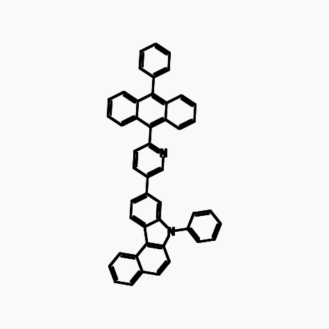 c1ccc(-c2c3ccccc3c(-c3ccc(-c4ccc5c6c7ccccc7ccc6n(-c6ccccc6)c5c4)cn3)c3ccccc23)cc1